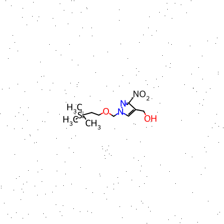 C[Si](C)(C)CCOCn1cc(CO)c([N+](=O)[O-])n1